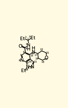 CCC(CC)NC(=O)c1cnc2c(cnn2CC)c1NC1CCOCC1